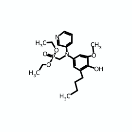 CCCCc1cc(N(CP(=O)(OCC)OCC)c2cccnc2)cc(OC)c1O